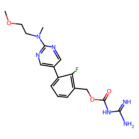 COCCN(C)c1ncc(-c2cccc(COC(=O)NC(=N)N)c2F)cn1